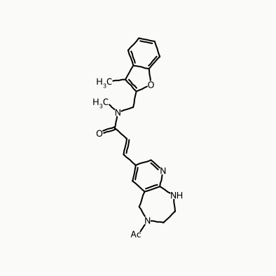 CC(=O)N1CCNc2ncc(C=CC(=O)N(C)Cc3oc4ccccc4c3C)cc2C1